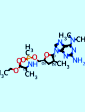 CCOC(=O)[C@H](C)NP(C)(=O)OC[C@@H]1C[C@H](C)[C@H](n2cnc3c(N(C)C)nc(N)nc32)O1